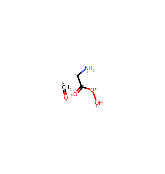 C=O.NCC(=O)OO